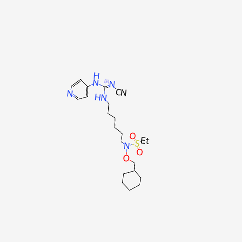 CCS(=O)(=O)N(CCCCCCN/C(=N\C#N)Nc1ccncc1)OCC1CCCCC1